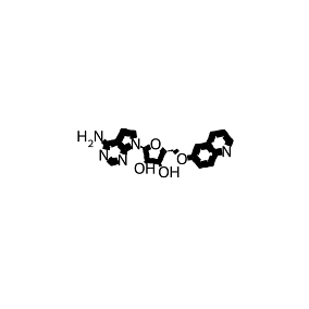 Nc1ncnc2c1ccn2[C@@H]1O[C@H](COc2ccc3ncccc3c2)[C@@H](O)[C@H]1O